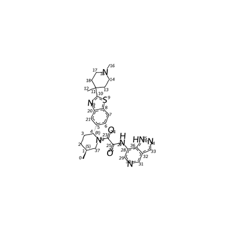 C[C@H]1CC[C@H](c2ccc3sc(C4(C)CCN(C)CC4)nc3c2)N(C(=O)C(=O)Nc2cncc3cn[nH]c23)C1